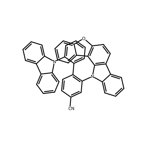 N#Cc1ccc(-c2ccccc2-n2c3ccccc3c3ccccc32)c(-n2c3ccccc3c3ccc4oc5ccccc5c4c32)c1